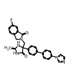 C=C1NC(=O)C(CN2Cc3ccc(F)cc3C2=O)(c2ccc(-c3ccc(-n4ccnc4)cc3)cc2)N1